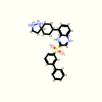 O=S(=O)(c1cccc(-c2ccccc2)c1)c1cnc2cccc(C3CCC4(CCNN4)CC3)c2n1